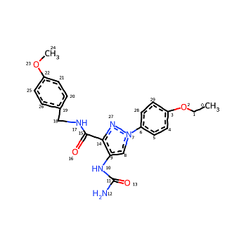 CCOc1ccc(-n2cc(NC(N)=O)c(C(=O)NCc3ccc(OC)cc3)n2)cc1